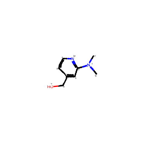 CN(C)c1cc(CO)ccn1